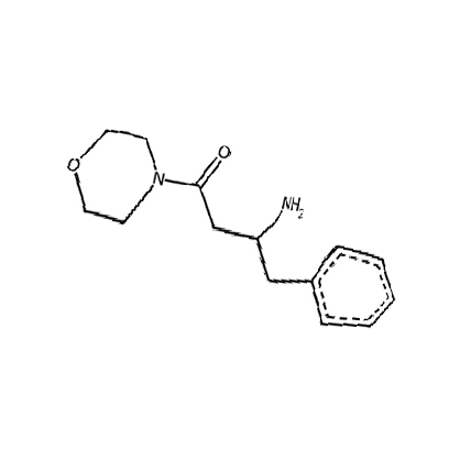 NC(CC(=O)N1CCOCC1)Cc1ccccc1